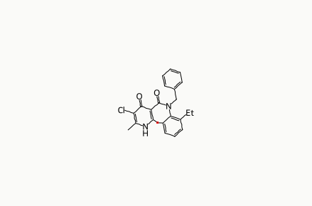 CCc1cccc(C)c1N(Cc1ccccc1)C(=O)c1c(C)[nH]c(C)c(Cl)c1=O